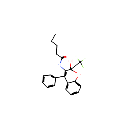 CCCCC(=O)NC1=C(c2ccccc2)c2ccccc2OC1(O)C(F)(F)F